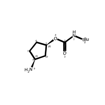 CC(C)(C)NC(=O)O[C@@H]1CC[C@H](N)C1